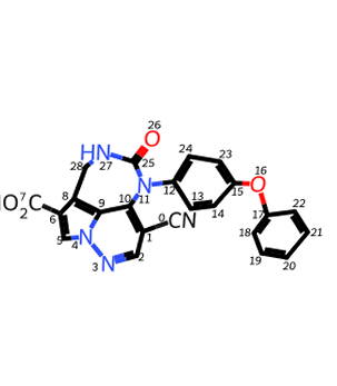 N#Cc1cnn2cc(C(=O)O)c3c2c1N(c1ccc(Oc2ccccc2)cc1)C(=O)NC3